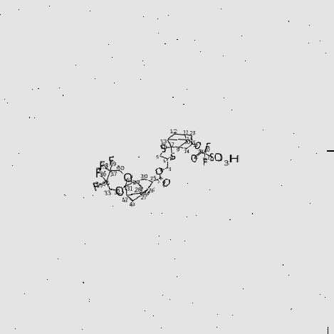 O=C(OCC1CSC2(S1)C1CC3CC2CC(OC(=O)C(F)(F)S(=O)(=O)O)(C3)C1)C12CC3CC(C1)C1(OCC(F)(F)C(F)(F)CO1)C(C3)C2